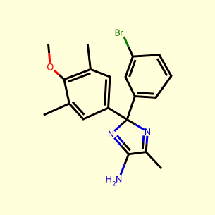 COc1c(C)cc(C2(c3cccc(Br)c3)N=C(C)C(N)=N2)cc1C